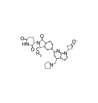 CC1c2cc(-c3cc(CN4CCCC4)c4ccn(C5C[S+]([O-])C5)c4n3)ccc2C(=O)N1C1CCC(=O)NC1=O